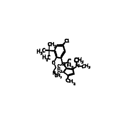 C=CCOc1c(C(C)(C)C)cc(Cl)cc1[Si](C)(C)C1=C(N(C)C)C=C(C)C1C